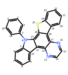 c1ccc(-n2c3ccccc3c3c4nccnc4c4c5ccccc5sc4c32)cc1